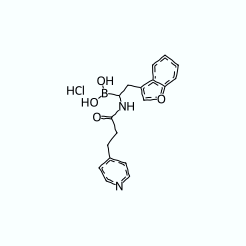 Cl.O=C(CCc1ccncc1)NC(Cc1coc2ccccc12)B(O)O